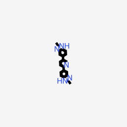 Cc1nc2cc(-c3ccc(-c4ccc5[nH]c(C)nc5c4)nc3)ccc2[nH]1